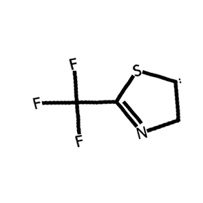 FC(F)(F)C1=NC[C]S1